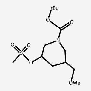 COCC1CC(OS(C)(=O)=O)CN(C(=O)OC(C)(C)C)C1